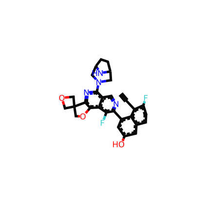 C#Cc1c(F)ccc2cc(O)cc(-c3ncc4c(N5CC6CCC(C5)N6)nc5c(c4c3F)OCC53COC3)c12